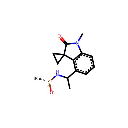 CC(N[S@+]([O-])C(C)(C)C)c1cccc2c1C1(CC1)C(=O)N2C